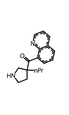 CCCC1(C(=O)c2cccc3cccnc23)CCNC1